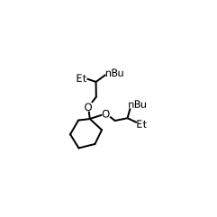 CCCCC(CC)COC1(OCC(CC)CCCC)CCCCC1